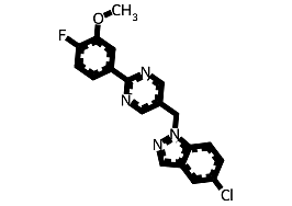 COc1cc(-c2ncc(Cn3ncc4cc(Cl)ccc43)cn2)ccc1F